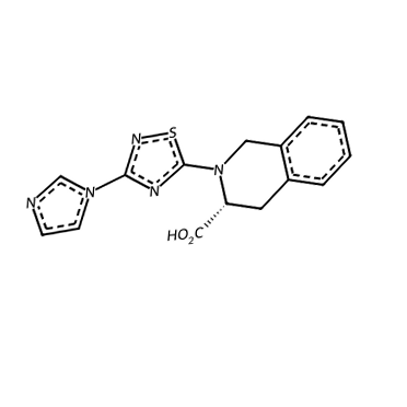 O=C(O)[C@H]1Cc2ccccc2CN1c1nc(-n2ccnc2)ns1